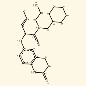 CC=CC(Oc1ccc2c(c1)CCC(=O)N2)C(=O)N(CCO)CC1CCCCC1